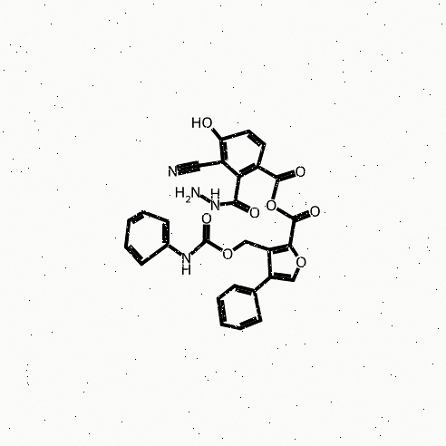 N#Cc1c(O)ccc(C(=O)OC(=O)c2occ(-c3ccccc3)c2COC(=O)Nc2ccccc2)c1C(=O)NN